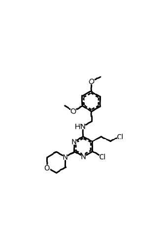 COc1ccc(CNc2nc(N3CCOCC3)nc(Cl)c2CCCl)c(OC)c1